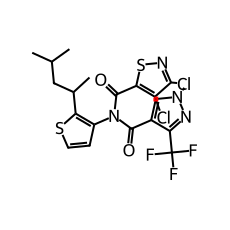 CC(C)CC(C)c1sccc1N(C(=O)c1cn(C)nc1C(F)(F)F)C(=O)c1snc(Cl)c1Cl